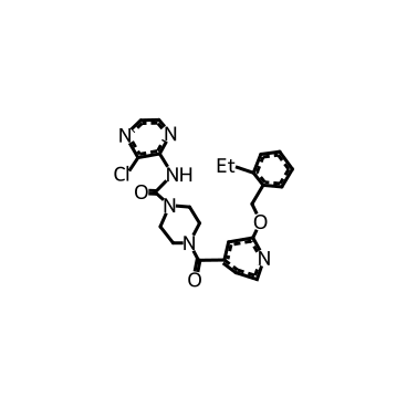 CCc1ccccc1COc1cc(C(=O)N2CCN(C(=O)Nc3nccnc3Cl)CC2)ccn1